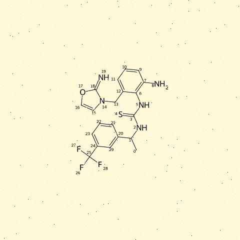 CC(NC(=S)Nc1c(N)cccc1Cn1ccoc1=N)c1cccc(C(F)(F)F)c1